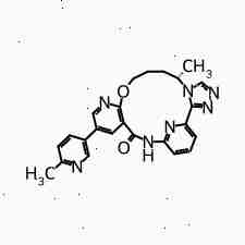 Cc1ccc(-c2cnc3c(c2)C(=O)Nc2cccc(n2)-c2nncn2[C@@H](C)CCCO3)cn1